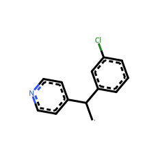 [CH2]C(c1ccncc1)c1cccc(Cl)c1